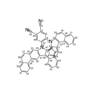 N#Cc1cc(-n2c3ccccc3c3c4ccccc4ccc32)c(-n2c3cc4ccc5ccccc5c4cc3c3c4ccccc4ccc32)cc1C#N